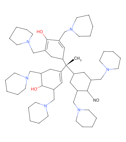 C[C@@](C1=CC(CN2CCCCC2)C(O)C(CN2CCCCC2)C1)(C1C=C(CN2CCCCC2)C(O)=C(CN2CCCCC2)C1)C1CC(CN2CCCCC2)C(N=O)C(CN2CCCCC2)C1